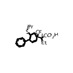 CCC(C(=O)O)C1(C(F)(F)F)C=CC(c2ccccc2)=C(SC(C)C)C1